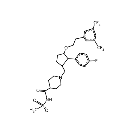 CS(=O)(=O)NC(=O)C1CCN(CC2CCC(OCCc3cc(C(F)(F)F)cc(C(F)(F)F)c3)C2c2ccc(F)cc2)CC1